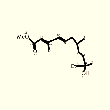 CCC(C)(O)CCC(C)C/C=C/C(C)=C/C(=O)OC